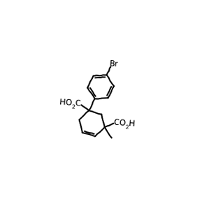 CC1(C(=O)O)C=CCC(C(=O)O)(c2ccc(Br)cc2)C1